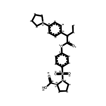 CCC(C(=O)Oc1ccc(S(=O)(=O)N2CCC[C@H]2C(=O)O)cc1)c1ccc(N2CCCC2)cc1